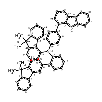 CC1(C)c2ccccc2-c2cc(-c3ccccc3N(c3ccc(-c4cccc5c4sc4ccccc45)cc3)c3cccc4c3-c3ccccc3C4(C)C)ccc21